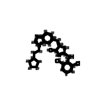 O=C1N=C(Nc2c(Cl)cccc2Cl)SC1=Cc1ccc2ncn(CCC3CCCC3)c2c1